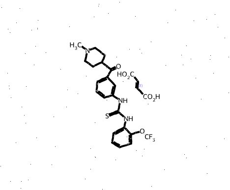 CN1CCC(C(=O)c2cccc(NC(=S)Nc3ccccc3OC(F)(F)F)c2)CC1.O=C(O)/C=C/C(=O)O